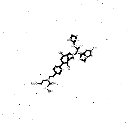 COCCN(CCc1ccc(-c2cc(Cl)c3cn([C@@H](C(=O)Nc4nccs4)c4ncn5c4C[C@@H](F)C5)nc3c2Cl)cc1)C(=O)OC(C)(C)C